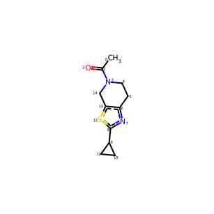 CC(=O)N1CCc2nc(C3CC3)sc2C1